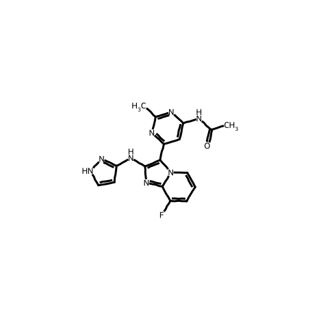 CC(=O)Nc1cc(-c2c(Nc3cc[nH]n3)nc3c(F)cccn23)nc(C)n1